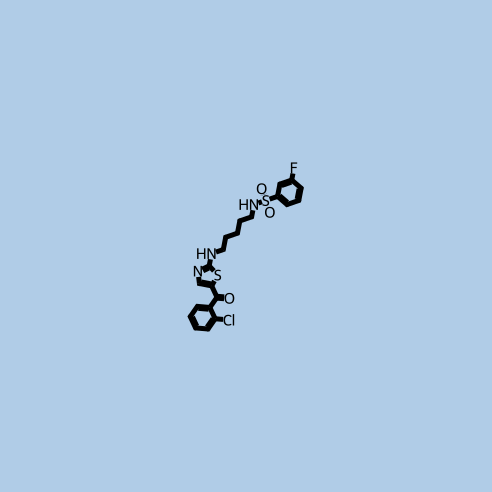 O=C(c1cnc(NCCCCCNS(=O)(=O)c2cccc(F)c2)s1)c1ccccc1Cl